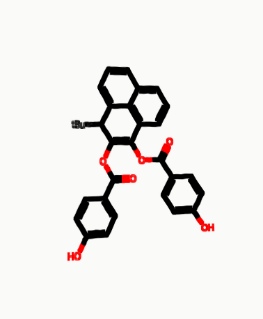 CC(C)(C)C1C(OC(=O)c2ccc(O)cc2)=C(OC(=O)c2ccc(O)cc2)c2cccc3cccc1c23